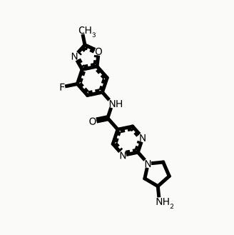 Cc1nc2c(F)cc(NC(=O)c3cnc(N4CCC(N)C4)nc3)cc2o1